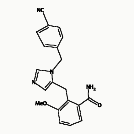 COc1cccc(C(N)=O)c1Cc1cncn1Cc1ccc(C#N)cc1